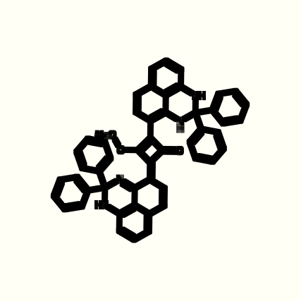 COOC1=C(c2ccc3cccc4c3c2NC(c2ccccc2)(c2ccccc2)N4)C(=O)/C1=c1\ccc2cccc3c2c1=NC(c1ccccc1)(c1ccccc1)N3